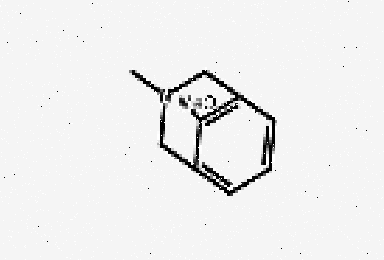 COc1c2cccc1CN(C)C2